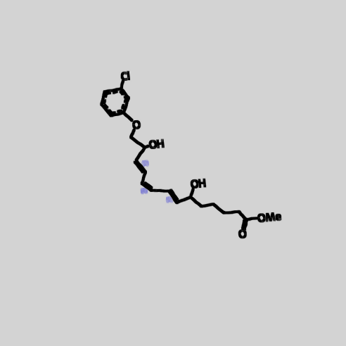 COC(=O)CCCCC(O)/C=C/C=C\C=C\C(O)COc1cccc(Cl)c1